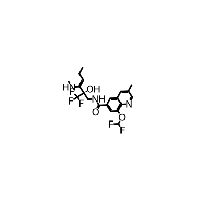 CC/C=C(\NC)[C@@](O)(CNC(=O)c1cc(OC(F)F)c2ncc(C)cc2c1)C(F)(F)F